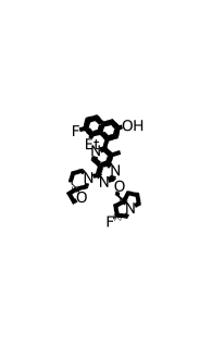 CCc1c(F)ccc2cc(O)cc(-c3ncc4c(N5CCC[C@]6(CCO6)C5)nc(OC[C@@]56CCCN5C[C@H](F)C6)nc4c3C)c12